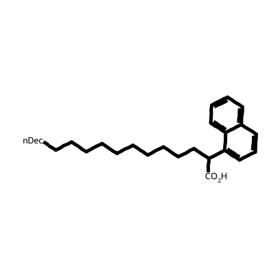 CCCCCCCCCCCCCCCCCCCCC(C(=O)O)c1cccc2ccccc12